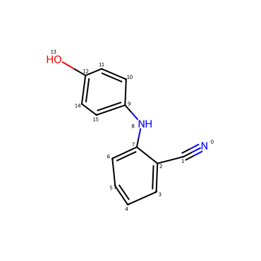 N#Cc1cc[c]cc1Nc1ccc(O)cc1